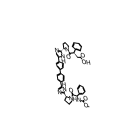 COC(=O)N[C@@H](C(=O)N1CCC[C@H]1c1ncc(-c2ccc(-c3ccc(-c4cnc([C@@H]5CCCN5C(=O)[C@H](CC(=O)O)c5ccccc5)[nH]4)cc3)cc2)[nH]1)c1ccccc1